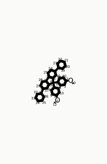 COc1ccc(C2(c3ccc(OC)cc3)c3cc(-c4ccccc4)ccc3-c3ccc(-c4ccccc4)cc32)cc1